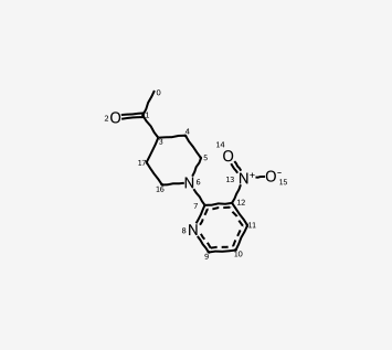 CC(=O)C1CCN(c2ncccc2[N+](=O)[O-])CC1